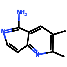 Cc1cc2c(N)nccc2nc1C